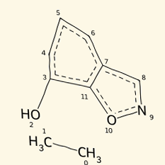 CC.Oc1cccc2cnoc12